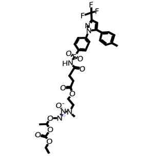 CCOC(=O)OC(C)O/N=[N+](\[O-])N(C)CCOC(=O)CCC(=O)NS(=O)(=O)c1ccc(-n2nc(C(F)(F)F)cc2-c2ccc(C)cc2)cc1